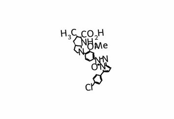 COc1cc(-n2cnc3ccc(-c4ccc(Cl)cc4)n3c2=O)ccc1N1CC[C@@H](CC(C)C(N)C(=O)O)C1